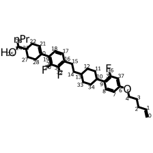 C=CCCCOc1ccc(C2CCC(CCc3ccc(C4=CCC(C(O)CCC)CC4)c(F)c3F)CC2)c(F)c1